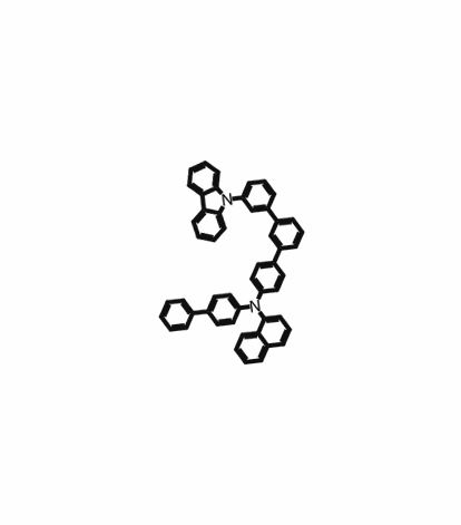 c1ccc(-c2ccc(N(c3ccc(-c4cccc(-c5cccc(-n6c7ccccc7c7ccccc76)c5)c4)cc3)c3cccc4ccccc34)cc2)cc1